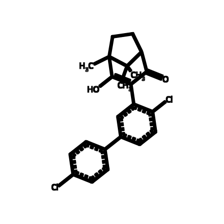 CC12CCC(C(=O)C(c3cc(-c4ccc(Cl)cc4)ccc3Cl)=C1O)C2(C)C